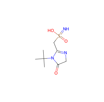 CC(C)(C)N1C(=O)CN=C1CS(=N)(=O)O